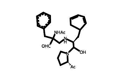 CC(=O)NC(C=O)(CN[C@@H](CC1C=CC=CC1)C(O)N1CCC[C@H]1C(C)=O)Cc1ccccc1